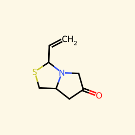 C=CC1SCC2CC(=O)CN21